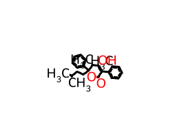 Cc1ccccc1C1=C(O)C(C)C(CCC(C)C)(c2ccccc2)OC1=O